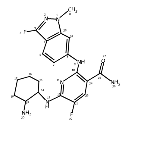 Cn1nc(F)c2ccc(Nc3nc(NC4CCCCC4N)c(F)cc3C(N)=O)cc21